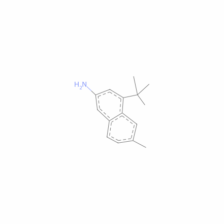 Cc1ccc2cc(N)cc(C(C)(C)C)c2c1